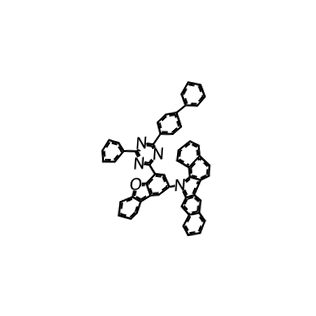 c1ccc(-c2ccc(-c3nc(-c4ccccc4)nc(-c4cc(-n5c6cc7ccccc7cc6c6ccc7ccccc7c65)cc5c4oc4ccccc45)n3)cc2)cc1